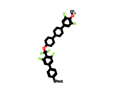 CCCCCc1ccc(-c2cc(F)c(C(F)(F)OC3CCC(C4CCC(c5cc(F)c(OC(F)(F)F)c(F)c5)CC4)CC3)c(F)c2)cc1